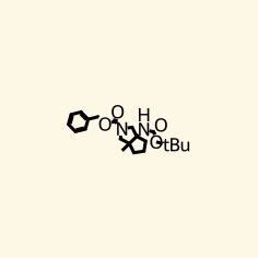 CC(C)(C)OC(=O)NC12CCCC1(C)CN(C(=O)OCc1ccccc1)C2